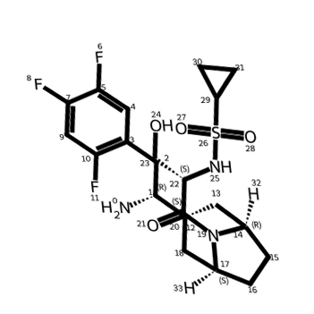 N[C@H](Cc1cc(F)c(F)cc1F)[C@@H]1C[C@H]2CC[C@@H](C1)N2C(=O)[C@H](CO)NS(=O)(=O)C1CC1